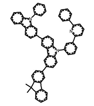 CC1(C)c2ccccc2-c2cc(-c3ccc4c(c3)c3cc(-c5ccc6c7ccccc7n(-c7ccccc7)c6c5)ccc3n4-c3cccc(-c4cccc(-c5ccccc5)n4)c3)ccc21